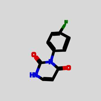 O=c1cc[nH]c(=O)n1-c1ccc(F)cc1